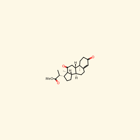 COC(=O)C(C)[C@H]1CC[C@H]2[C@@H]3CCC4=CC(=O)CC[C@]4(C)[C@H]3CC(=O)[C@]12C